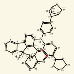 CC1(C)c2ccccc2-c2ccc(N(c3ccc(C4CCCCC4)cc3)c3ccc(C4CC5CCC4C5)cc3)c(-c3cccc4ccccc34)c21